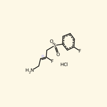 Cl.NC/C=C(\F)CS(=O)(=O)c1cccc(F)c1